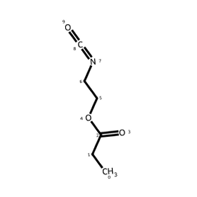 CCC(=O)OCCN=C=O